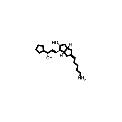 NCCCCC=C1C[C@H]2C[C@@H](O)[C@H](/C=C/[C@H](O)C3CCCC3)[C@H]2C1